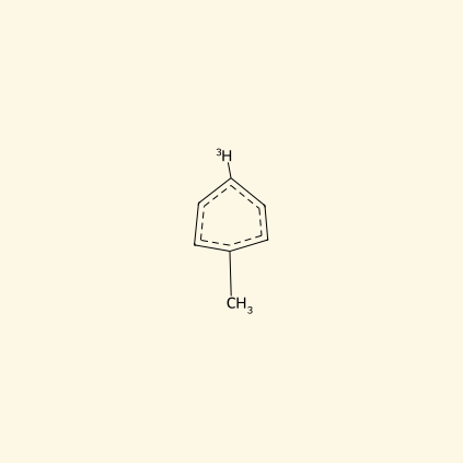 [3H]c1ccc(C)cc1